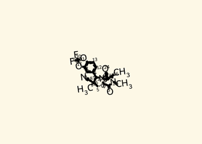 CN1C(=O)[C@@]23C[C@](C)(C#N)C(c4ccc5c(c4)OC(F)(F)O5)N2C(=O)C1(C)SS3